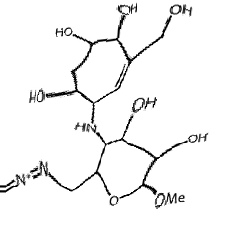 COC1OC(CN=[N+]=[N-])C(NC2C=C(CO)C(O)C(O)C2O)C(O)C1O